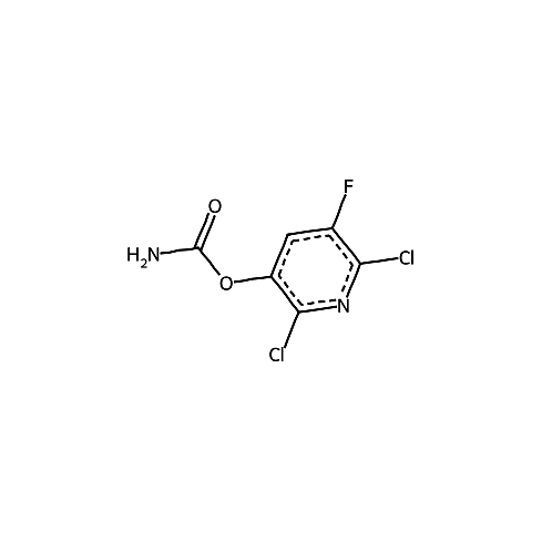 NC(=O)Oc1cc(F)c(Cl)nc1Cl